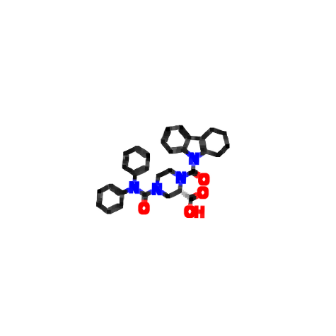 O=C(O)[C@@H]1CN(C(=O)N(c2ccccc2)c2ccccc2)CCN1C(=O)n1c2c(c3ccccc31)CCCC2